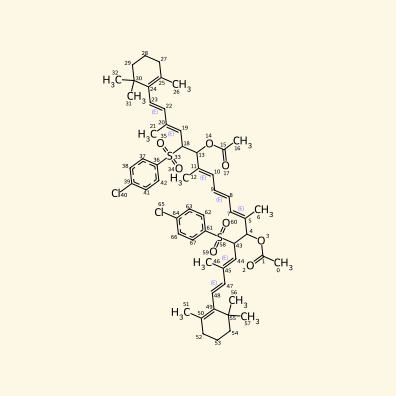 CC(=O)OC(/C(C)=C/C=C/C=C(\C)C(OC(C)=O)C(/C=C(C)/C=C/C1=C(C)CCCC1(C)C)S(=O)(=O)c1ccc(Cl)cc1)C(/C=C(C)/C=C/C1=C(C)CCCC1(C)C)S(=O)(=O)c1ccc(Cl)cc1